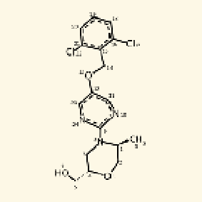 C[C@H]1CO[C@H](CO)CN1c1ncc(OCc2c(Cl)cccc2Cl)cn1